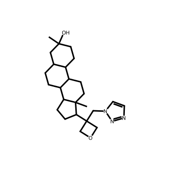 CC1(O)CCC2C(CCC3C2CCC2(C)C3CCC2C2(Cn3ccnn3)COC2)C1